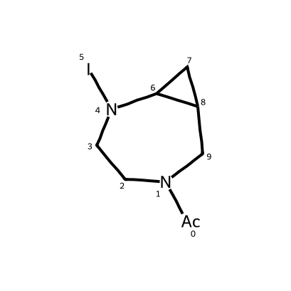 CC(=O)N1CCN(I)C2CC2C1